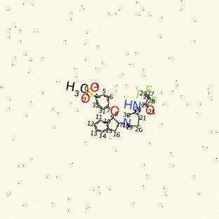 CS(=O)(=O)c1ccc(O[C@H]2c3ccccc3C[C@@H]2N2CCC[C@@H](NC(=O)C(F)(F)F)C2)cc1